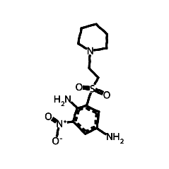 Nc1cc([N+](=O)[O-])c(N)c(S(=O)(=O)CCN2CCCCC2)c1